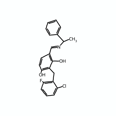 CC(/N=C/c1ccc(O)c(Cc2c(F)cccc2Cl)c1O)c1ccccc1